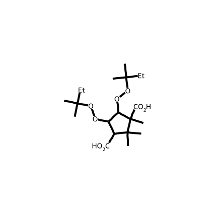 CCC(C)(C)OOC1C(C(=O)O)C(C)(C)C(C)(C(=O)O)C1OOC(C)(C)CC